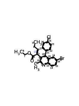 CC/C=C(\C(=O)OCC)c1c(C)nc2ccc(Br)cc2c1-c1ccc(Cl)cc1